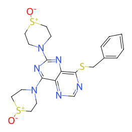 [O-][S+]1CCN(c2nc(N3CC[S+]([O-])CC3)c3ncnc(SCc4ccccc4)c3n2)CC1